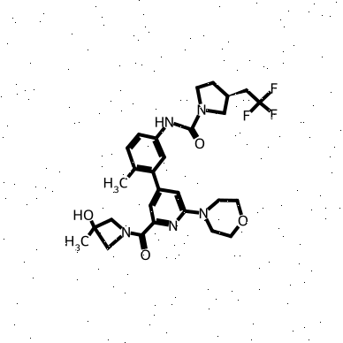 Cc1ccc(NC(=O)N2CC[C@@H](CC(F)(F)F)C2)cc1-c1cc(C(=O)N2CC(C)(O)C2)nc(N2CCOCC2)c1